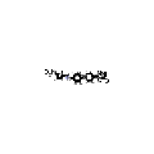 O=c1[nH]nc(C2CCN(c3ccc(/N=C/c4ccc([N+](=O)[O-])o4)cc3)CC2)o1